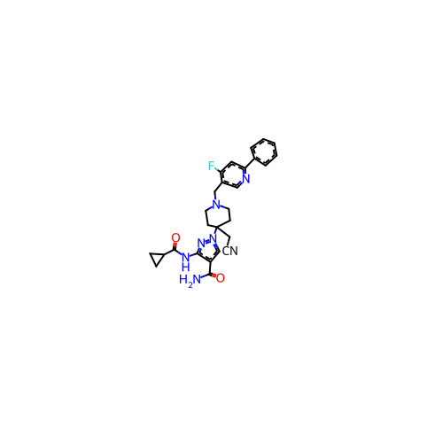 N#CCC1(n2cc(C(N)=O)c(NC(=O)C3CC3)n2)CCN(Cc2cnc(-c3ccccc3)cc2F)CC1